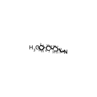 Cc1ccc([C@H]2CC[C@H]([C@H]3CC[C@H](C=CC#N)CC3)CC2)cc1